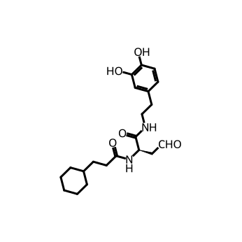 O=CC[C@@H](NC(=O)CCC1CCCCC1)C(=O)NCCc1ccc(O)c(O)c1